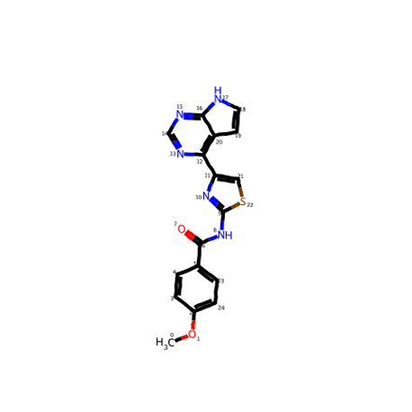 COc1ccc(C(=O)Nc2nc(-c3ncnc4[nH]ccc34)cs2)cc1